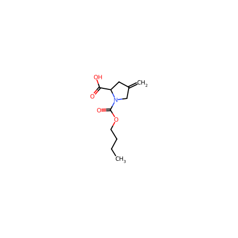 C=C1CC(C(=O)O)N(C(=O)OCCCC)C1